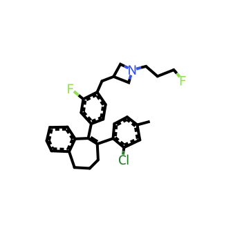 Cc1ccc(C2=C(c3ccc(CC4CN(CCCF)C4)c(F)c3)c3ccccc3CCC2)c(Cl)c1